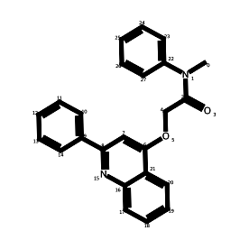 CN(C(=O)COc1cc(-c2ccccc2)nc2ccccc12)c1ccccc1